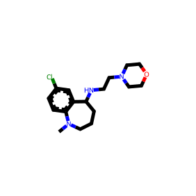 CN1CCCC(NCCN2CCOCC2)c2cc(Cl)ccc21